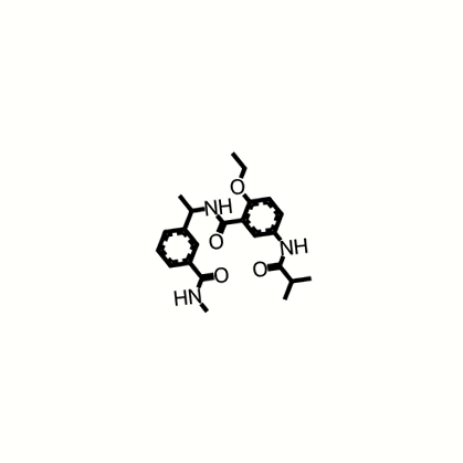 CCOc1ccc(NC(=O)C(C)C)cc1C(=O)NC(C)c1cccc(C(=O)NC)c1